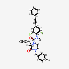 Cc1ccc(CN2CCN(C(=O)N(C)c3c(F)cc(C#Cc4ccccc4)cc3F)C(C)(CC=O)C2=O)cc1